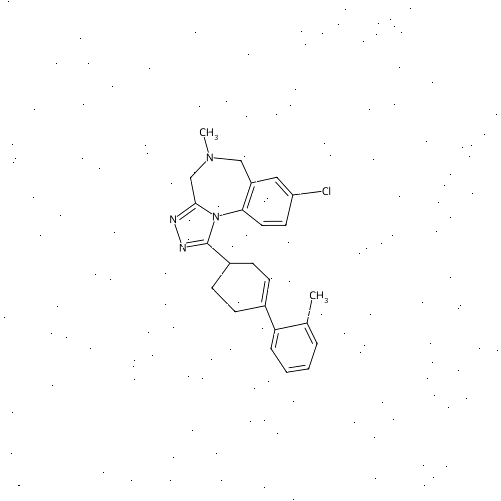 Cc1ccccc1C1=CCC(c2nnc3n2-c2ccc(Cl)cc2CN(C)C3)CC1